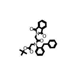 CC(C)(C)OC(=O)CN(C(=O)CN1C(=O)c2ccccc2C1=O)c1ccccc1Cc1ccccc1